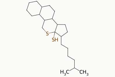 CC(C)CCCCC1CCC2C3CCC4CCCCC4C3CSC12S